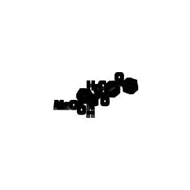 COC(=O)c1cccc2c(C(=O)C(=O)N3CCN(C(=O)c4ccccc4)CC3C)c[nH]c12